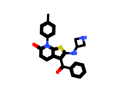 Cc1ccc(-n2c(=O)ccc3c(C(=O)c4ccccc4)c(NC4CNC4)sc32)cc1